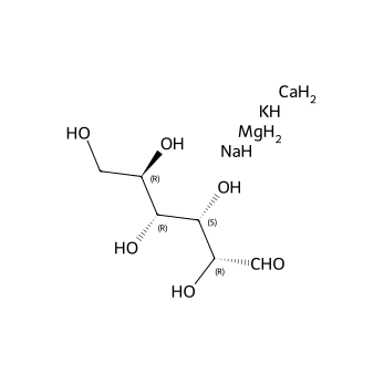 O=C[C@H](O)[C@@H](O)[C@H](O)[C@H](O)CO.[CaH2].[KH].[MgH2].[NaH]